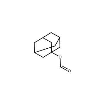 O=[C]OC12CC3CC(CC(C3)C1)C2